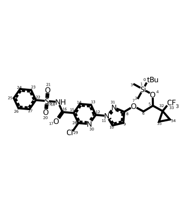 CC(C)(C)[Si](C)(C)OC(COc1ccn(-c2ccc(C(=O)NS(=O)(=O)c3ccccc3)c(Cl)n2)n1)C1(C(F)(F)F)CC1